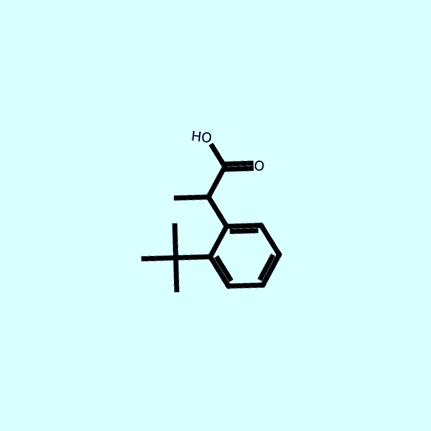 CC(C(=O)O)c1ccccc1C(C)(C)C